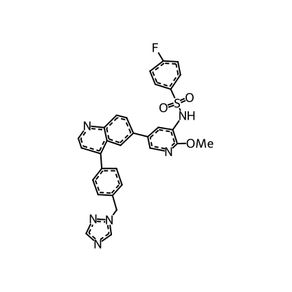 COc1ncc(-c2ccc3nccc(-c4ccc(Cn5cncn5)cc4)c3c2)cc1NS(=O)(=O)c1ccc(F)cc1